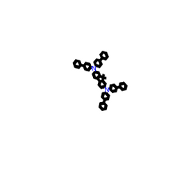 CC1(C)c2cc(N(C3=CC=C(C4=CC=CCC4)CC3)c3ccc(-c4ccccc4)cc3)ccc2-c2ccc(N(c3ccc(-c4ccccc4)cc3)c3ccc(-c4ccccc4)cc3)cc21